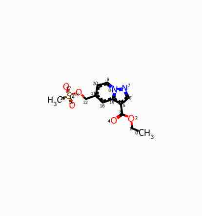 CCOC(=O)c1cnn2ccc(COS(C)(=O)=O)cc12